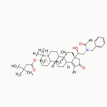 CC(C)C(=O)N(Cc1ccccc1)C[C@H](O)[C@@]12CC[C@]3(C)[C@H](CC[C@@H]4[C@@]5(C)CC[C@H](OC(=O)CC(C)(C)C(=O)O)C(C)(C)[C@H]5CC[C@]43C)C1=C(C(C)C)C(=O)C2